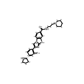 O=C(NCCCN1CCCCC1)c1ccc2c(c1)sc1nc(-c3ccc([C@@H]4CCCN4)cc3F)cn12